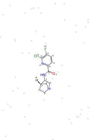 O=C(NC1CN2CC[C@H]1C2)c1ccc(F)c(Cl)n1